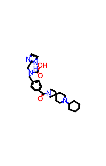 O=C(O)N(Cc1ccc(C(=O)N2CCC3(CCN(C4CCCCC4)CC3)C2)cc1)Cc1ncc[nH]1